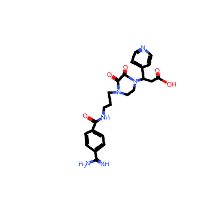 N=C(N)c1ccc(C(=O)NCCCN2CCN(C(CC(=O)O)c3ccncc3)C(=O)C2=O)cc1